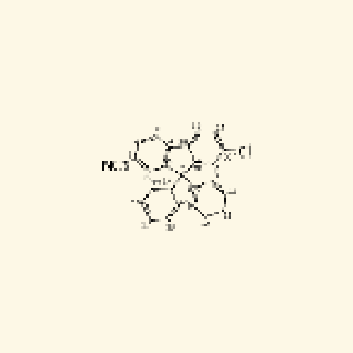 N#Cc1ccc2c(c1)C(C1=CCCC=C1)(c1ccccc1)c1cc(Cl)ccc1-2